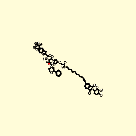 CC(C)(C)[C@H](NC(=O)c1cc2cc(C(F)(F)P(=O)(O)O)ccc2s1)C(=O)N1C[C@@H](OCC(=O)NCCCCCCCCCC#Cc2ccc3c(c2)C(=O)N(C2CCC(=O)NC2=O)C3=O)C[C@H]1C(=O)N1CCOC(c2ccccc2)C1